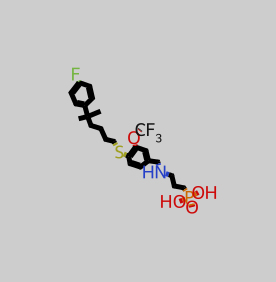 CC(C)(CCCCSc1ccc(CNCCCP(=O)(O)O)cc1OC(F)(F)F)c1ccc(F)cc1